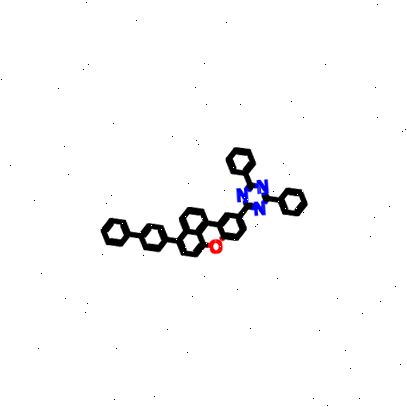 c1ccc(-c2ccc(-c3ccc4c5c(cccc35)-c3cc(-c5nc(-c6ccccc6)nc(-c6ccccc6)n5)ccc3O4)cc2)cc1